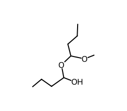 CCCC(O)OC(CCC)OC